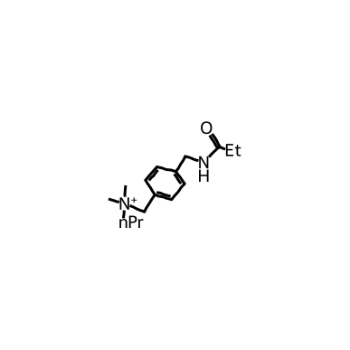 CCC[N+](C)(C)Cc1ccc(CNC(=O)CC)cc1